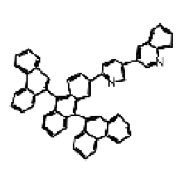 c1ccc2ncc(-c3ccc(-c4ccc5c(-c6cc7ccccc7c7ccccc67)c6ccccc6c(-c6cc7ccccc7c7ccccc67)c5c4)nc3)cc2c1